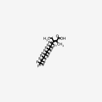 CCC(=C(C)C(=O)O)C(F)(F)C(F)(F)C(F)(F)C(F)(F)C(F)(F)C(F)(F)C(F)(F)C(F)(F)F